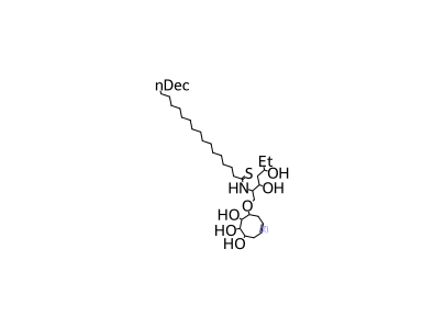 CCCCCCCCCCCCCCCCCCCCCCCCCC(=S)NC(COC1C/C=C\CC(O)C(O)C1O)C(O)CC(O)CC